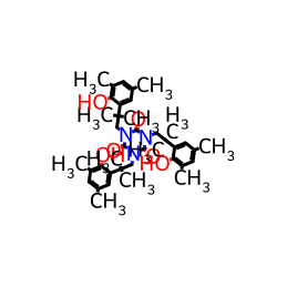 Cc1cc(C)c(O)c(C(C)(C)Cn2c(=O)n(CC(C)(C)c3cc(C)cc(C)c3O)c(=O)n(CC(C)(C)c3cc(C)cc(C)c3O)c2=O)c1